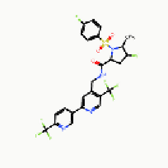 CC1C(F)CC(C(=O)NCc2cc(-c3ccc(C(F)(F)F)nc3)ncc2C(F)(F)F)N1S(=O)(=O)c1ccc(F)cc1